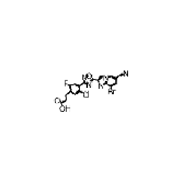 N#Cc1cc(Br)c2nc(-c3nc(-c4cc(F)c(CCC(=O)O)cc4Cl)no3)cn2c1